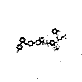 CN(C)CC[C@H](CSc1ccccc1Cl)Nc1ccc(S(=O)(=O)Nc2ncnc3c2CCN(C2CCN(Cc4ccccc4-c4ccc(Cl)cc4)CC2)C3)cc1S(=O)(=O)C(F)(F)F